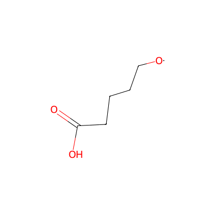 [O]CCCCC(=O)O